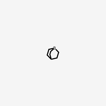 C1CC2CCB1CC2